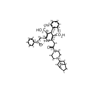 CN1C2CCC1CC(N1CCN(C(=O)CC3=C(C(=O)O)C(c4c(Cl)cccc4Cl)C(C(=O)O)=C(C[S+]([O-])c4ccccc4)N3)CC1)C2